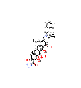 NC(=O)C1=C(O)C[C@@H]2CC3Cc4c(c(O)cc(CN(CCc5ccccc5)CC5CC5)c4C(F)(F)F)C(=O)C3=C(O)[C@]2(O)C1=O